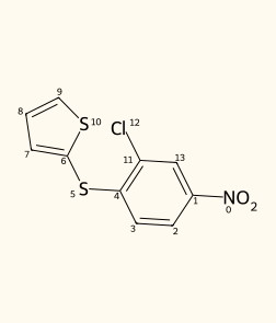 O=[N+]([O-])c1ccc(Sc2cccs2)c(Cl)c1